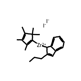 CCCC1=Cc2ccccc2[CH]1[Zr+2][C]1=C(C)C(C)=C(C)C1(C)C.[I-].[I-]